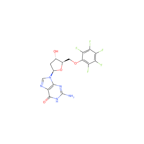 Nc1nc2c(ncn2[C@H]2C[C@H](O)[C@@H](COc3c(F)c(F)c(F)c(F)c3F)O2)c(=O)[nH]1